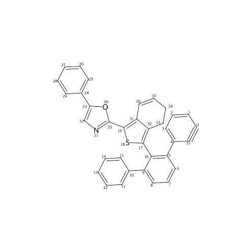 c1cccc(-c2cccc(-c3ccccc3)c2-c2sc(-c3ncc(-c4ccccc4)o3)c3c2CCC=C3)c#1